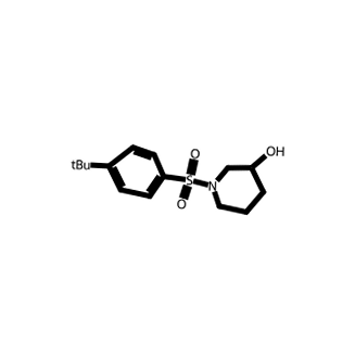 CC(C)(C)c1ccc(S(=O)(=O)N2CCCC(O)C2)cc1